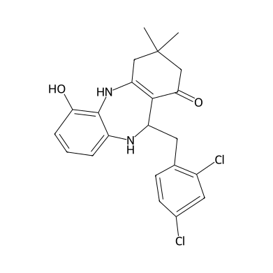 CC1(C)CC(=O)C2=C(C1)Nc1c(O)cccc1NC2Cc1ccc(Cl)cc1Cl